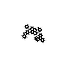 Cc1cccc(N(c2ccc3c(c2)C2(c4ccccc4-3)C3CC4CC(C3)CC2C4)c2ccc3ccc4c(N(c5ccccc5)c5ccc6c(c5)oc5ccccc56)ccc5ccc2c3c54)c1